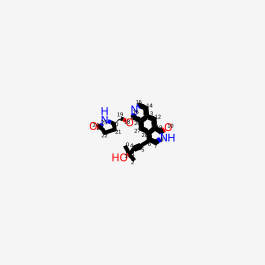 CC(C)(O)C#Cc1c[nH]c(=O)c2cc3ccnc(OC[C@@H]4CCC(=O)N4)c3cc12